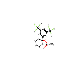 CC(=O)OC1(c2cc(C(F)(F)F)cc(C(F)(F)F)c2)CCCCC1